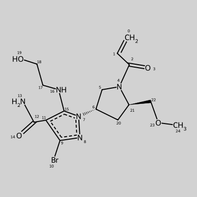 C=CC(=O)N1C[C@@H](n2nc(Br)c(C(N)=O)c2NCCO)C[C@@H]1COC